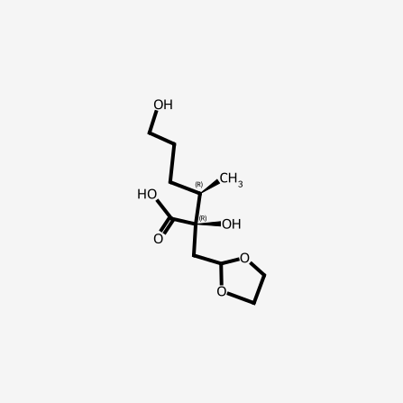 C[C@H](CCCO)[C@](O)(CC1OCCO1)C(=O)O